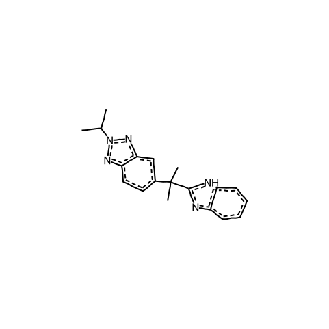 CC(C)n1nc2ccc(C(C)(C)c3nc4ccccc4[nH]3)cc2n1